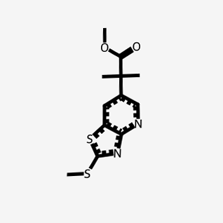 COC(=O)C(C)(C)c1cnc2nc(SC)sc2c1